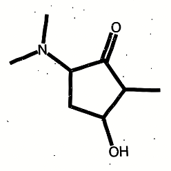 CC1C(=O)C(N(C)C)CC1O